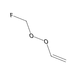 C=COOCF